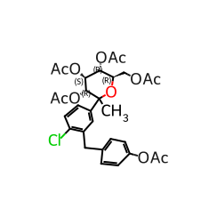 CC(=O)OC[C@H]1OC(C)(c2ccc(Cl)c(Cc3ccc(OC(C)=O)cc3)c2)[C@H](OC(C)=O)[C@@H](OC(C)=O)[C@@H]1OC(C)=O